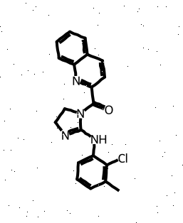 Cc1cccc(NC2=NCCN2C(=O)c2ccc3ccccc3n2)c1Cl